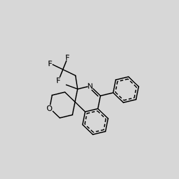 CC1(CC(F)(F)F)N=C(c2ccccc2)c2ccccc2C12CCOCC2